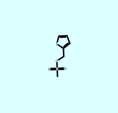 CS(=O)(=O)OCc1cccs1